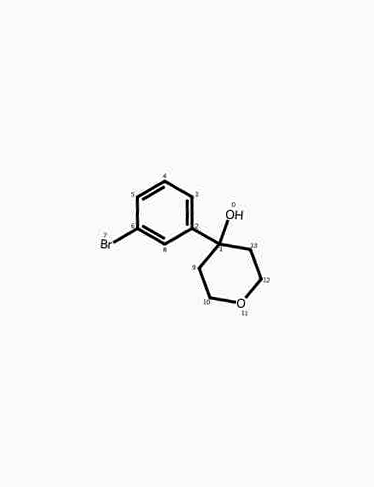 OC1(c2cccc(Br)c2)CCOCC1